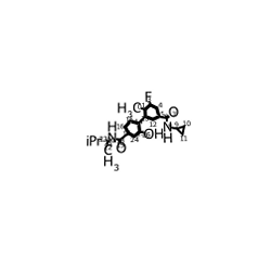 Cc1c(F)cc(C(=O)NC2CC2)cc1-c1ccc(C(=O)N[C@H](C)C(C)C)cc1O